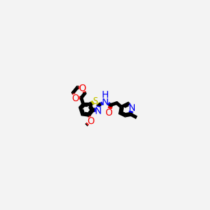 COc1ccc(C2COCCO2)c2sc(NC(=O)Cc3ccc(C)nc3)nc12